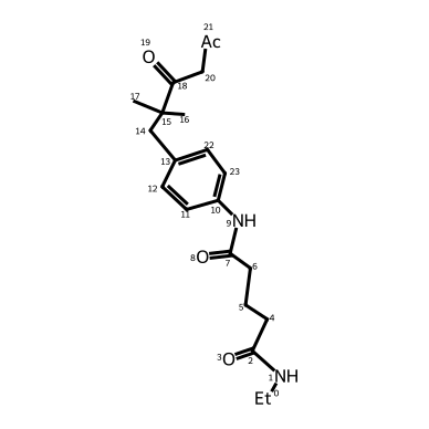 CCNC(=O)CCCC(=O)Nc1ccc(CC(C)(C)C(=O)CC(C)=O)cc1